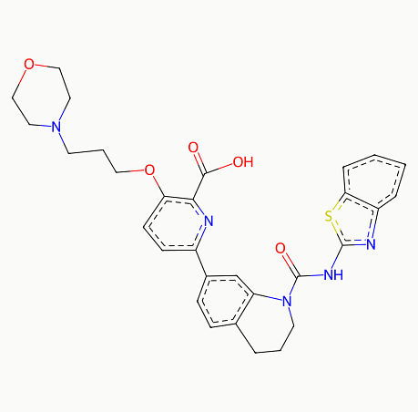 O=C(O)c1nc(-c2ccc3c(c2)N(C(=O)Nc2nc4ccccc4s2)CCC3)ccc1OCCCN1CCOCC1